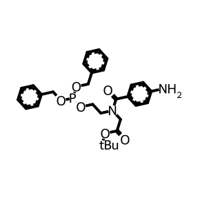 CC(C)(C)OC(=O)CN(CCOP(OCc1ccccc1)OCc1ccccc1)C(=O)c1ccc(N)cc1